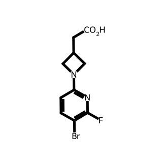 O=C(O)CC1CN(c2ccc(Br)c(F)n2)C1